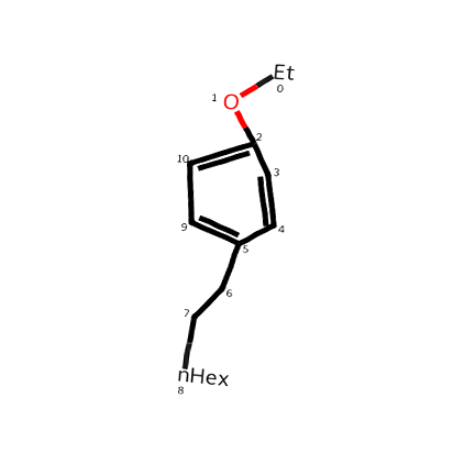 [CH2]COc1ccc(CCCCCCCC)cc1